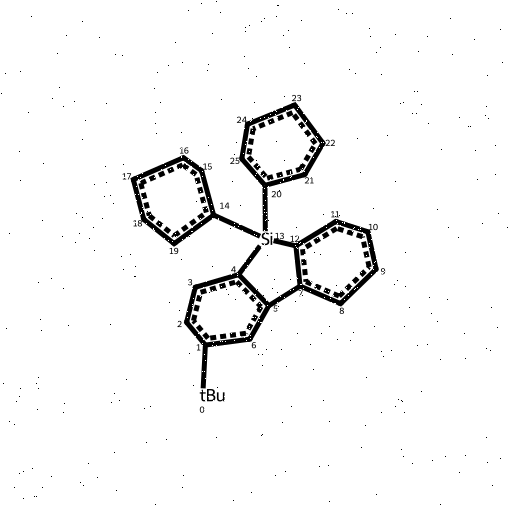 CC(C)(C)c1ccc2c(c1)-c1ccccc1[Si]2(c1ccccc1)c1ccccc1